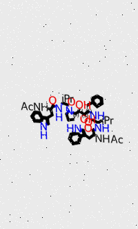 CC(=O)NC(Cc1c[nH]c2ccccc12)C(=O)NC(C(=O)N[C@@H](Cc1ccccc1)[C@H](O)[C@@H](O)[C@@H]1CCCN1C(=O)C(NC(=O)C(Cc1c[nH]c2ccccc12)NC(C)=O)C(C)C)C(C)C